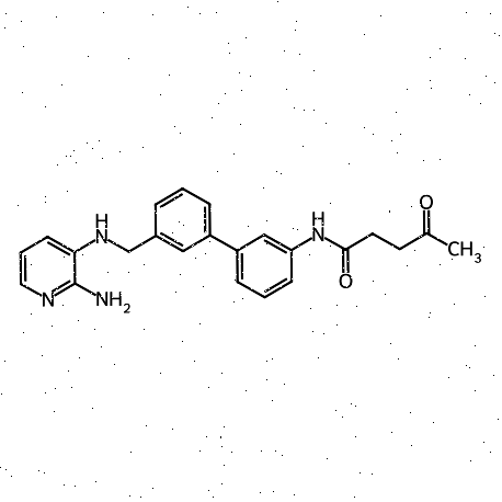 CC(=O)CCC(=O)Nc1cccc(-c2cccc(CNc3cccnc3N)c2)c1